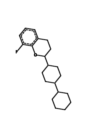 Fc1cccc2c1OC(C1CCC(C3CCCCC3)CC1)CC2